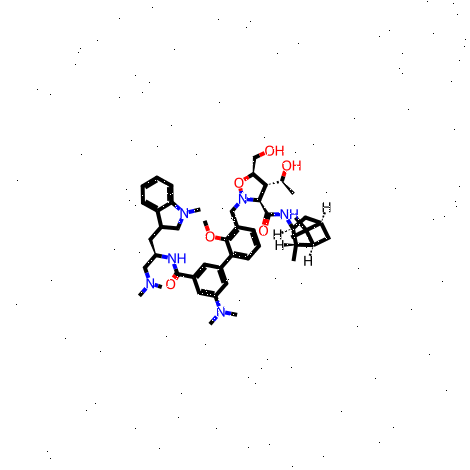 COc1c(CN2O[C@@H](CO)[C@H]([C@H](C)O)[C@H]2C(=O)N[C@H]2C[C@H]3C[C@@H]([C@@H]2C)C3(C)C)cccc1-c1cc(C(=O)N[C@H](CC2CN(C)c3ccccc32)CN(C)C)cc(N(C)C)c1